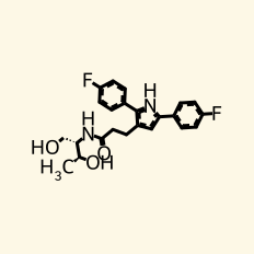 C[C@H](O)[C@H](CO)NC(=O)CCc1cc(-c2ccc(F)cc2)[nH]c1-c1ccc(F)cc1